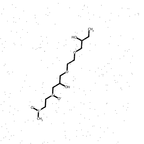 CCC(O)COCCOCC(O)C[S+]([O-])CC[S+](C)[O-]